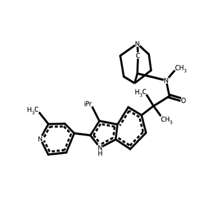 Cc1cc(-c2[nH]c3ccc(C(C)(C)C(=O)N(C)C4CN5CCC4CC5)cc3c2C(C)C)ccn1